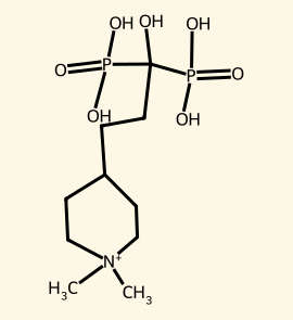 C[N+]1(C)CCC(CCC(O)(P(=O)(O)O)P(=O)(O)O)CC1